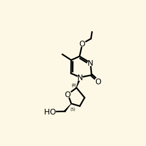 CCOc1nc(=O)n([C@H]2CC[C@@H](CO)O2)cc1C